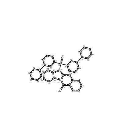 O=c1c2ccccc2nc2n(P(=O)(c3cccc(-c4ccccc4)c3)c3cccc(-c4ccccc4)c3)c3ccccc3n12